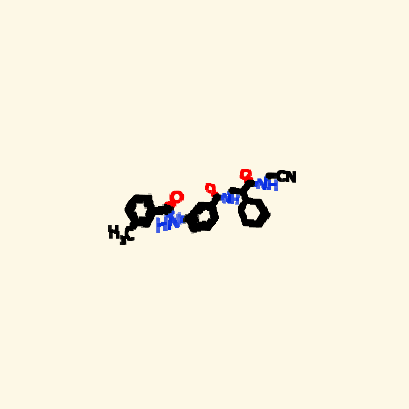 Cc1cccc(C(=O)Nc2cccc(C(=O)NCC(C(=O)NCC#N)C3CCCCC3)c2)c1